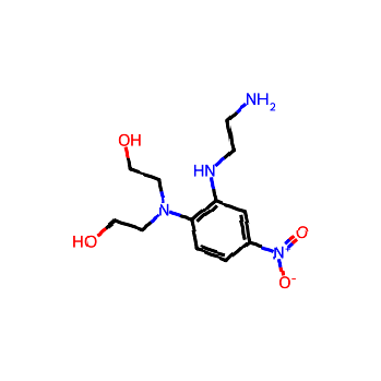 NCCNc1cc([N+](=O)[O-])ccc1N(CCO)CCO